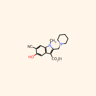 CCOC(=O)c1c(CN2CCCCC2)n(C)c2cc(C#N)c(O)cc12